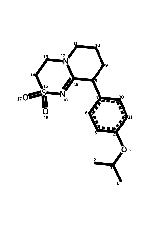 CC(C)Oc1ccc(C2CCCN3CCS(=O)(=O)N=C23)cc1